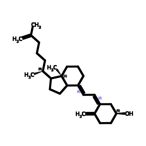 C=C(C)CCC[C@@H](C)C1CCC2/C(=C/C=C3/C[C@@H](O)CCC3=C)CCC[C@@]21C